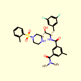 CCCN(CCC)C(=O)c1cc(C)cc(C(=O)N[C@@H](Cc2cc(F)cc(F)c2)C(O)[C@H]2CN(S(=O)(=O)c3ccccc3C)CCN2)c1